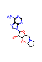 Nc1ncnc2c1ncn2C1OC(CN2CCCC2)C(O)C1O